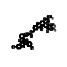 CC(=O)OC[C@H]1O[C@@H](Oc2ccc(COC(=O)NCC3CCCCN3C(=O)Oc3ccc(Cl)cc3-c3nc4ccc(Cl)cc4c(=O)[nH]3)cc2[N+](=O)[O-])C[C@@H](OC(C)=O)[C@H]1OC(C)=O